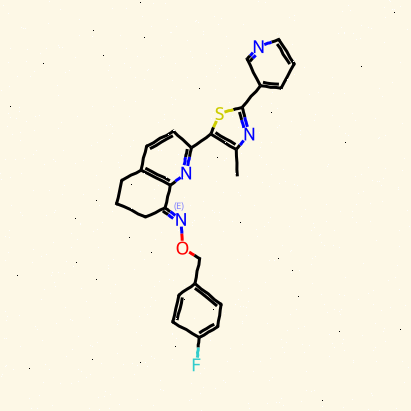 Cc1nc(-c2cccnc2)sc1-c1ccc2c(n1)/C(=N/OCc1ccc(F)cc1)CCC2